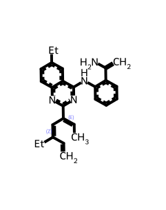 C=C/C(=C\C(=C/C)c1nc(Nc2ccccc2C(=C)N)c2cc(CC)ccc2n1)CC